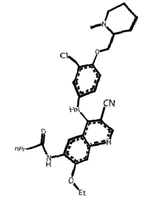 CCCC(=O)Nc1cc2c(Nc3ccc(OCC4CCCCN4C)c(Cl)c3)c(C#N)cnc2cc1OCC